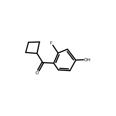 O=C(c1ccc(O)cc1F)C1CCC1